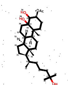 CC(=O)O[C@H]1CC[C@]2(C)[C@H]3CC[C@]4(C)[C@@H]([C@H](C)CCCC(C)(C)O)CC[C@H]4[C@@H]3CCC2(O)C1O